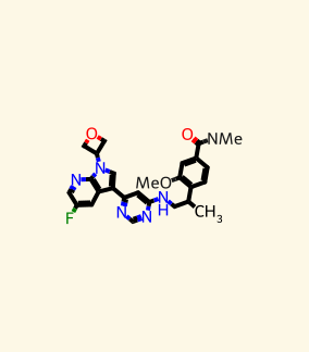 CNC(=O)c1ccc(C(C)CNc2cc(-c3cn(C4COC4)c4ncc(F)cc34)ncn2)c(OC)c1